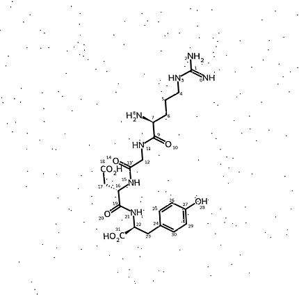 N=C(N)NCCC[C@H](N)C(=O)NCC(=O)N[C@@H](CC(=O)O)C(=O)N[C@@H](Cc1ccc(O)cc1)C(=O)O